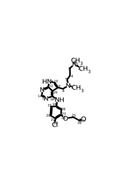 CN(C)CCCN(C)Cc1c[nH]c2ncnc(Nc3ccc(Cl)c(OCC=O)c3)c12